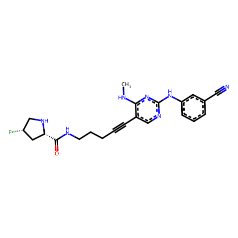 CNc1nc(Nc2cccc(C#N)c2)ncc1C#CCCCNC(=O)[C@@H]1C[C@H](F)CN1